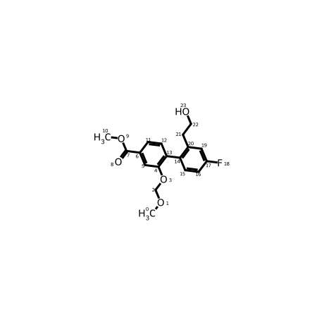 COCOc1cc(C(=O)OC)ccc1-c1ccc(F)cc1CCO